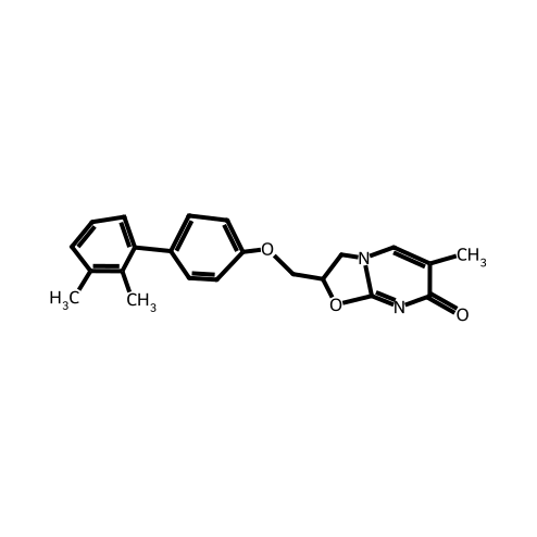 Cc1cccc(-c2ccc(OCC3Cn4cc(C)c(=O)nc4O3)cc2)c1C